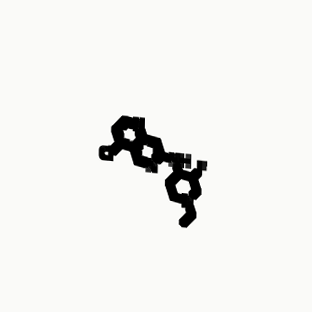 CCN1CCC(Nc2cc3nccc(Cl)c3cn2)C(F)C1